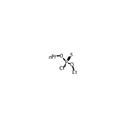 CCCOP(=S)(Cl)OCC